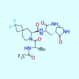 CC(C)(C)C(NC(=O)C(F)(F)F)C(=O)N1CCC2(C[C@H]1C(=O)NC(C[C@@H]1CCNC1=O)C(N)=O)CC(F)(F)C2